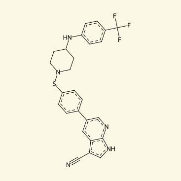 N#Cc1c[nH]c2ncc(-c3ccc(SN4CCC(Nc5ccc(C(F)(F)F)cc5)CC4)cc3)cc12